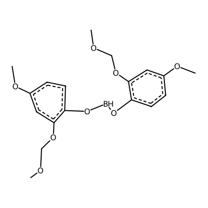 COCOc1cc(OC)ccc1OBOc1ccc(OC)cc1OCOC